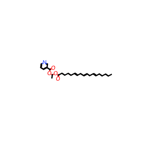 CCCCCC=CCC=CCC=CCCCCC(=O)OC(C)OC(=O)c1cccnc1